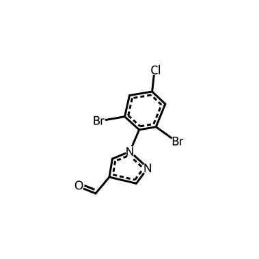 O=Cc1cnn(-c2c(Br)cc(Cl)cc2Br)c1